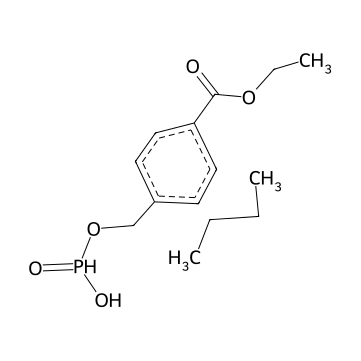 CCCC.CCOC(=O)c1ccc(CO[PH](=O)O)cc1